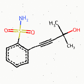 CC(C)(O)C#Cc1ccccc1S(N)(=O)=O